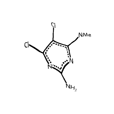 CNc1nc(N)nc(Cl)c1Cl